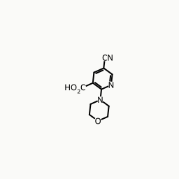 N#Cc1cnc(N2CCOCC2)c(C(=O)O)c1